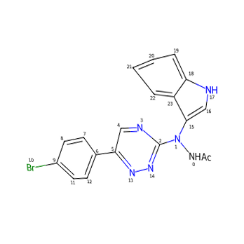 CC(=O)NN(c1ncc(-c2ccc(Br)cc2)nn1)c1c[nH]c2ccccc12